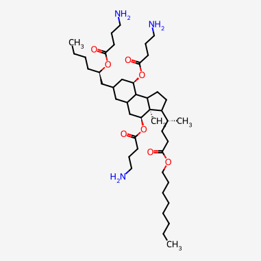 CCCCCCCCOC(=O)CC[C@@H](C)C1CCC2C3C(CC(C[C@@H](CCCC)OC(=O)CCCN)C[C@H]3OC(=O)CCCN)C[C@H](OC(=O)CCCN)[C@@]21C